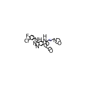 O=C(/C=C/CN1CCCOCC1)Nc1cc2c(Nc3ccc(F)c(Cl)c3)ncnc2cc1OCC1CCOC1